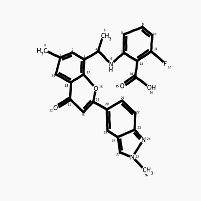 Cc1cc(C(C)Nc2cccc(F)c2C(=O)O)c2oc(-c3ccc4nn(C)cc4c3)cc(=O)c2c1